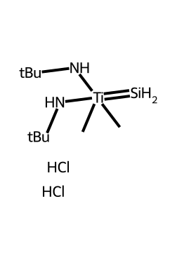 CC(C)(C)[NH][Ti]([CH3])([CH3])(=[SiH2])[NH]C(C)(C)C.Cl.Cl